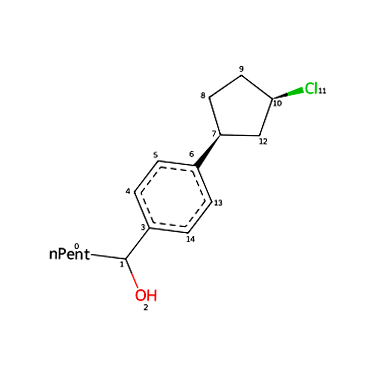 CCCCCC(O)c1ccc([C@H]2CC[C@@H](Cl)C2)cc1